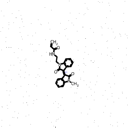 C=CC(=O)NCCN1C(=O)/C(=C2/C(=O)N(C)c3ccccc32)c2ccccc21